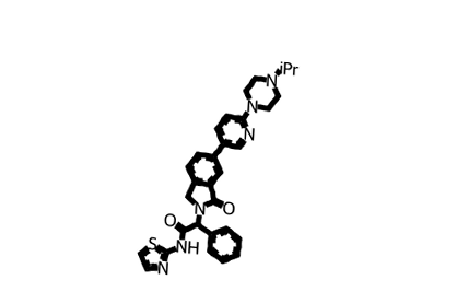 CC(C)N1CCN(c2ccc(-c3ccc4c(c3)C(=O)N(C(C(=O)Nc3nccs3)c3ccccc3)C4)cn2)CC1